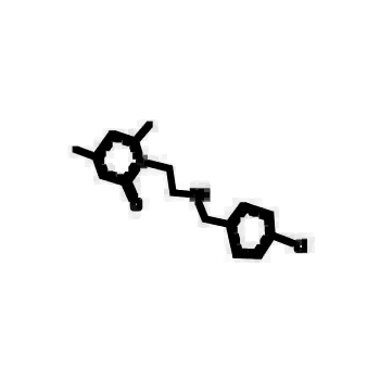 Cc1cc(C)n(CCNCc2ccc(Cl)cc2)c(=O)c1